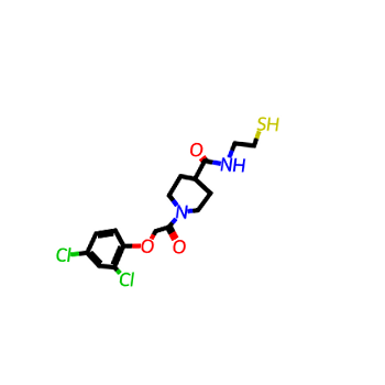 O=C(NCCS)C1CCN(C(=O)COc2ccc(Cl)cc2Cl)CC1